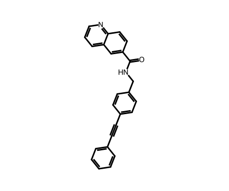 O=C(NCc1ccc(C#Cc2ccccc2)cc1)c1ccc2ncccc2c1